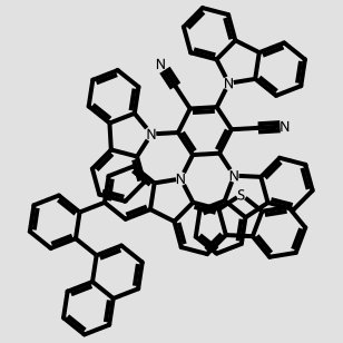 N#Cc1c(-n2c3ccccc3c3ccccc32)c(C#N)c(-n2c3ccccc3c3ccccc32)c(-n2c3ccc(-c4ccccc4-c4cccc5ccccc45)cc3c3ccc4c5ccccc5sc4c32)c1-n1c2ccccc2c2ccccc21